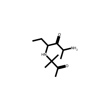 CCC(NC(C)(C)C(C)=O)C(=O)C(C)N